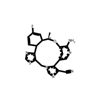 C[C@H]1Oc2cc(cnc2N)-c2c(C#N)ncn2Cc2scnc2C2C=CC(F)=CC21